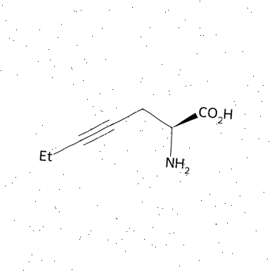 CCC#CC[C@H](N)C(=O)O